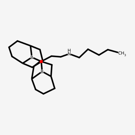 CCCCCNCCC(B1C2CCCC1CCC2)B1C2CCCC1CCC2